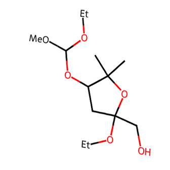 CCOC(OC)OC1CC(CO)(OCC)OC1(C)C